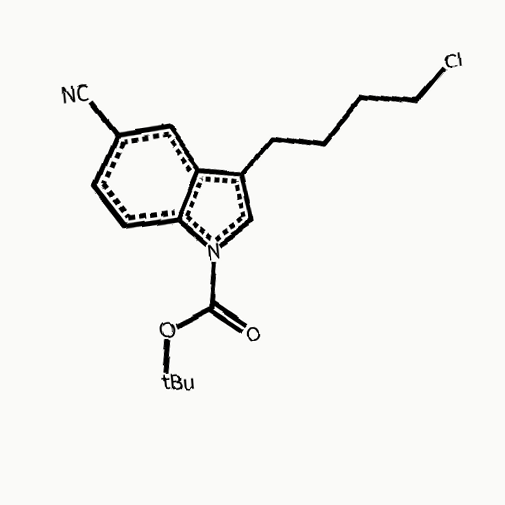 CC(C)(C)OC(=O)n1cc(CCCCCl)c2cc(C#N)ccc21